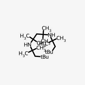 CC(C)(C)CC(C)(C)NC(C)(C)CC(C)(C)NC(C)(C)CC(C)(C)C